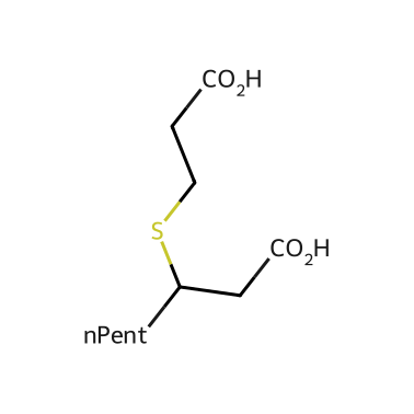 CCCCCC(CC(=O)O)SCCC(=O)O